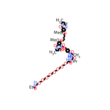 CCC(=O)NCCOCCOCCOCCOCCOCCOCCOCCOCCC(=O)N[C@H](C(=O)N[C@@H](C)C(=O)Nc1ccc(COC(=O)N2c3cc(OCCCCCOc4cc5c(cc4OC)C(=O)N4C=C(C)C[C@H]4C=N5)c(OC)cc3C(=O)N3C=C(C)C[C@H]3[C@@H]2O)cc1)C(C)C